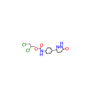 O=C(Nc1ccc(-c2ccc(=O)[nH]n2)cc1)OCC(Cl)CCl